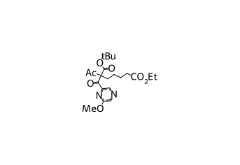 CCOC(=O)CCCCC(C(C)=O)(C(=O)OC(C)(C)C)C(=O)c1cncc(OC)n1